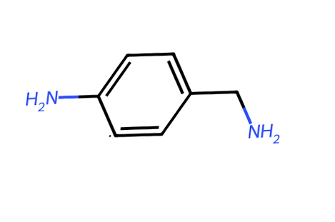 NCc1c[c]c(N)cc1